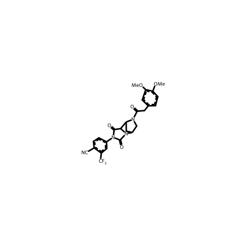 COc1ccc(CC(=O)N2CC3CC2C2C(=O)N(c4ccc(C#N)c(C(F)(F)F)c4)C(=O)N32)cc1OC